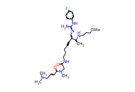 C=C(NCCCOC)/C(C#CCCCNC(=O)CN(C)C(=O)/C=C/CN(C)C)=C\N=C(/N)Nc1ccc(F)cc1